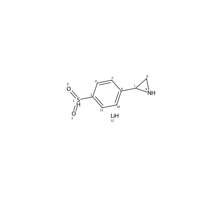 O=[SH](=O)c1ccc(C2CN2)cc1.[LiH]